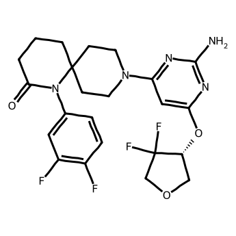 Nc1nc(O[C@@H]2COCC2(F)F)cc(N2CCC3(CCCC(=O)N3c3ccc(F)c(F)c3)CC2)n1